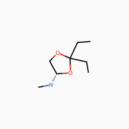 CCC1(CC)OC[C@@H]([N]C)O1